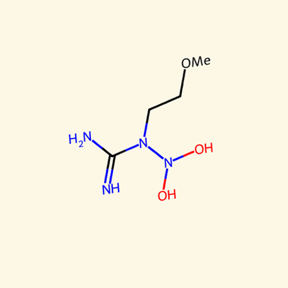 COCCN(C(=N)N)N(O)O